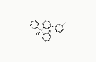 Cc1cccc(-c2cccc(P(=O)(c3ccccc3)c3ccccc3)c2Br)c1